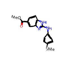 COC(=O)c1ccc2[nH]c(Nc3ccc(SC)cc3)nc2c1